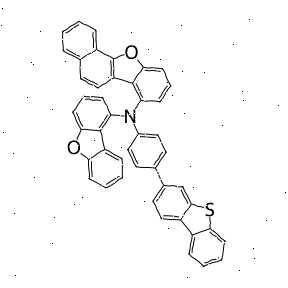 c1ccc2c(c1)ccc1c2oc2cccc(N(c3ccc(-c4ccc5c(c4)sc4ccccc45)cc3)c3cccc4oc5ccccc5c34)c21